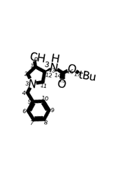 CC1CN(Cc2ccccc2)C[C@@H]1NC(=O)OC(C)(C)C